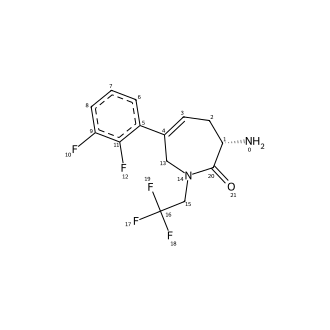 N[C@H]1CC=C(c2cccc(F)c2F)CN(CC(F)(F)F)C1=O